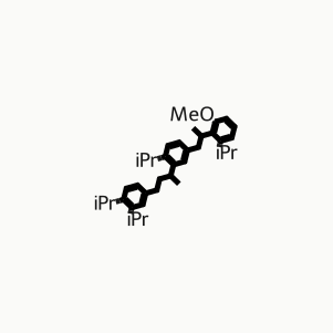 COc1cccc(C(C)C)c1C(C)Cc1ccc(C(C)C)c(C(C)CCc2ccc(C(C)C)c(C(C)C)c2)c1